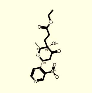 CCOC(=O)CC[C@@]1(O)C(=O)C[C@H](c2ccncc2[N+](=O)[O-])O[C@@H]1C